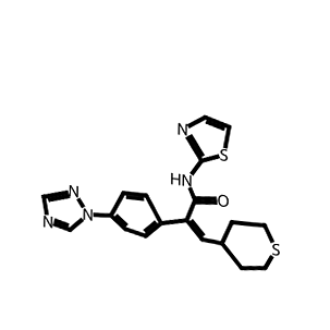 O=C(Nc1nccs1)C(=CC1CCSCC1)c1ccc(-n2cncn2)cc1